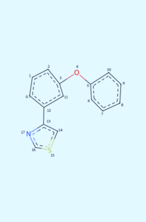 [c]1ccc(Oc2ccccc2)cc1-c1cscn1